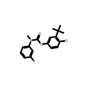 CN(C(=O)Oc1ccc(Cl)c(C(C)(C)C)c1)c1cccc(F)c1